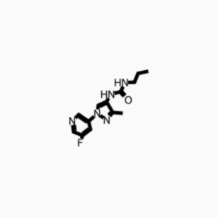 CCCNC(=O)Nc1cn(-c2cncc(F)c2)nc1C